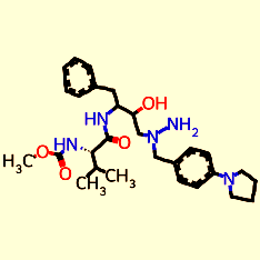 COC(=O)N[C@H](C(=O)NC(Cc1ccccc1)C(O)CN(N)Cc1ccc(N2CCCC2)cc1)C(C)C